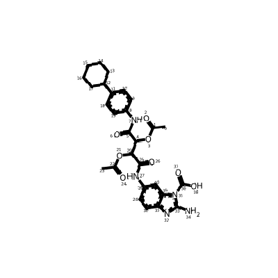 CC(=O)OC(C(=O)Nc1ccc(C2CCCCC2)cc1)C(OC(C)=O)C(=O)Nc1ccc2nc(N)n(C(=O)O)c2c1